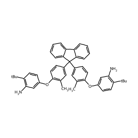 Cc1cc(C2(c3ccc(Oc4ccc(C(C)(C)C)c(N)c4)c(C)c3)c3ccccc3-c3ccccc32)ccc1Oc1ccc(C(C)(C)C)c(N)c1